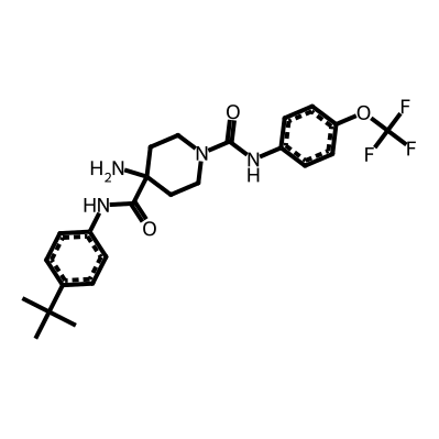 CC(C)(C)c1ccc(NC(=O)C2(N)CCN(C(=O)Nc3ccc(OC(F)(F)F)cc3)CC2)cc1